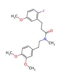 COc1ccc(I)c(CCC(=O)N(C)CCc2ccc(OC)c(OC)c2)c1